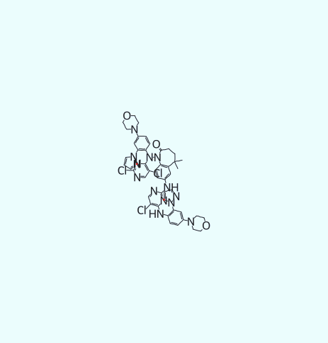 CC1(C)CCC(=O)N(N(c2ccc(N3CCOCC3)cc2-n2cccn2)c2nc(Cl)ncc2Cl)c2ccc(Nc3ncc(Cl)c(Nc4ccc(N5CCOCC5)cc4-n4cccn4)n3)cc21